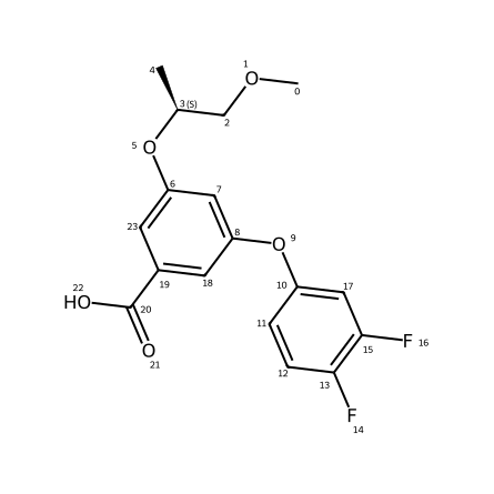 COC[C@H](C)Oc1cc(Oc2ccc(F)c(F)c2)cc(C(=O)O)c1